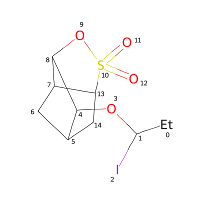 CCC(I)OC1C2CC3C1OS(=O)(=O)C3C2